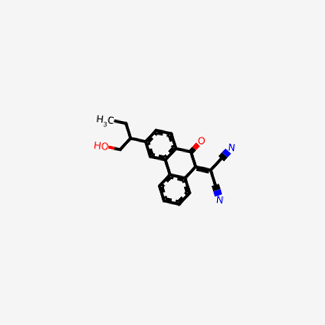 CCC(CO)c1ccc2c(c1)-c1ccccc1C(=C(C#N)C#N)C2=O